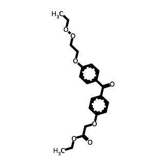 CCOOCCOc1ccc(C(=O)c2ccc(OCC(=O)OCC)cc2)cc1